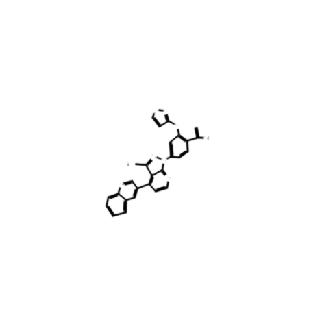 CC(C)c1nn(-c2ccc(C(N)=O)c(Nc3ccon3)c2)c2nccc(-c3cnc4ccccc4c3)c12